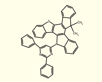 CC1(C)c2ccccc2-c2c1c1c3ccccc3n(-c3cc(-c4ccccc4)nc(-c4ccccc4)n3)c1c1c2sc2ccccc21